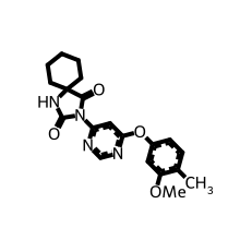 COc1cc(Oc2cc(N3C(=O)NC4(CCCCC4)C3=O)ncn2)ccc1C